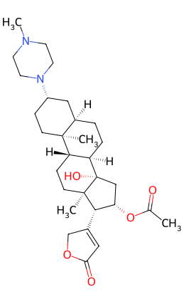 CC(=O)O[C@H]1C[C@]2(O)[C@@H]3CC[C@@H]4C[C@@H](N5CCN(C)CC5)CC[C@]4(C)[C@H]3CC[C@]2(C)[C@H]1C1=CC(=O)OC1